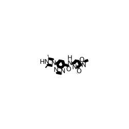 COc1nc(NC(=O)c2ccc(N3C[C@@H](C)N[C@H](C)C3)c3nccnc23)cc2oc(C)nc12